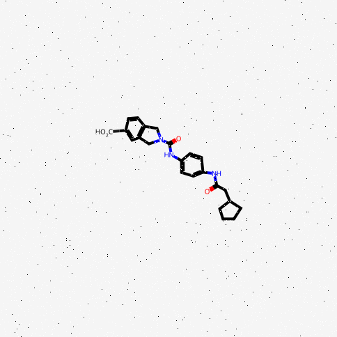 O=C(CC1CCCC1)Nc1ccc(NC(=O)N2Cc3ccc(C(=O)O)cc3C2)cc1